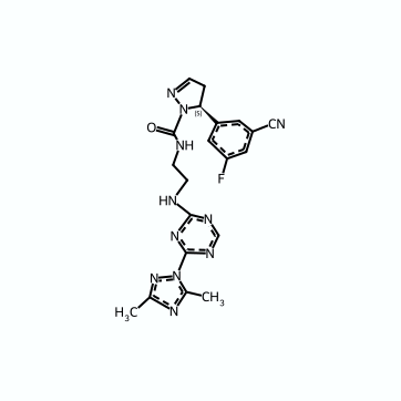 Cc1nc(C)n(-c2ncnc(NCCNC(=O)N3N=CC[C@H]3c3cc(F)cc(C#N)c3)n2)n1